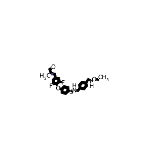 CCOPCc1ccc(CNSc2ccc(Oc3c(F)cc(/C=C(\C)C=O)cc3F)cc2)cc1